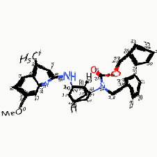 COc1ccc2c(C)cc(N[C@H]3C[C@@H]4C[C@H]3[C@@H](N(Cc3ccccc3)C(=O)OCc3ccccc3)C4)nc2c1